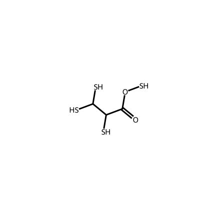 O=C(OS)C(S)C(S)S